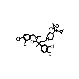 CN(Cc1ccc(Cl)c(Cl)c1)C(=O)C(C)(CCN1CCC(N(C2CC2)S(C)(=O)=O)CC1)c1ccc(Cl)c(Cl)c1